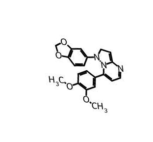 COc1ccc(C2=CC=NC3=CCN(c4ccc5c(c4)OCO5)N32)cc1OC